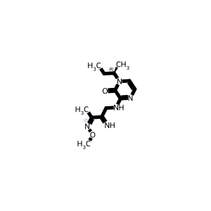 CC[C@@H](C)n1ccnc(NCC(=N)/C(C)=N\OC)c1=O